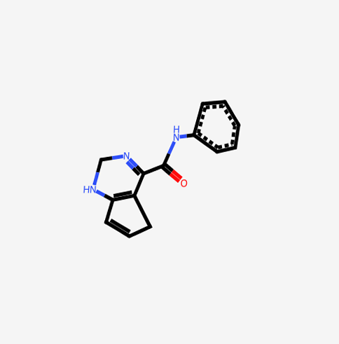 O=C(Nc1ccccc1)C1=NCNC2=C1CC=C2